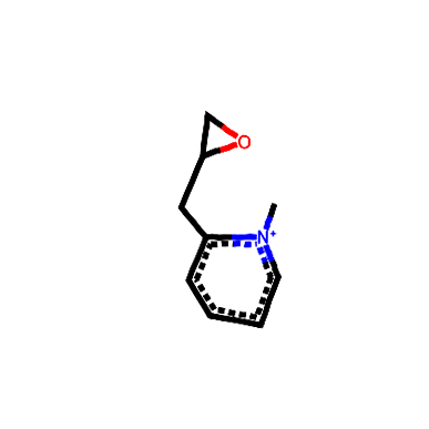 C[n+]1ccccc1CC1CO1